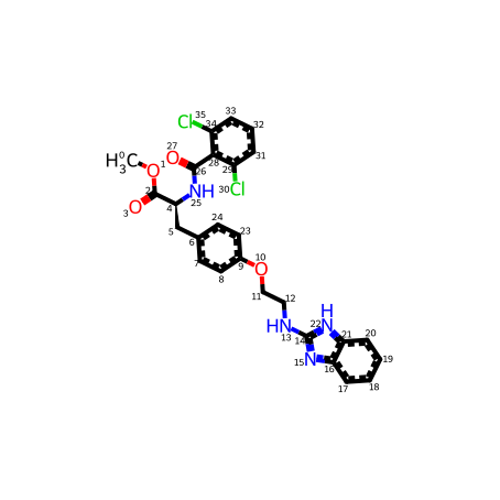 COC(=O)[C@H](Cc1ccc(OCCNc2nc3ccccc3[nH]2)cc1)NC(=O)c1c(Cl)cccc1Cl